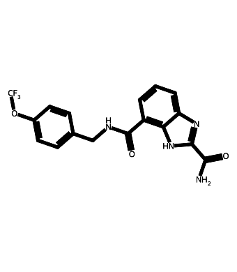 NC(=O)c1nc2cccc(C(=O)NCc3ccc(OC(F)(F)F)cc3)c2[nH]1